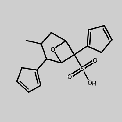 CC1CC2OC(C1C1=CC=CC1)C2(C1=CC=CC1)S(=O)(=O)O